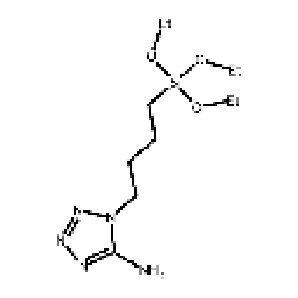 CCO[Si](CCCCn1nnnc1N)(OCC)OCC